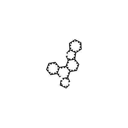 c1ccc2c(c1)[nH]c1c2ccc2c1c1ccccc1n1ccnc21